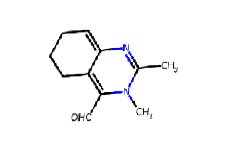 CC1=NC2=CCCCC2=C(C=O)N1C